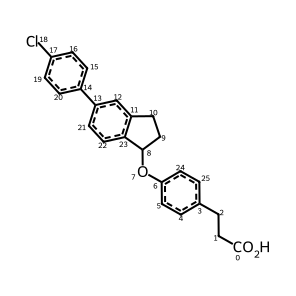 O=C(O)CCc1ccc(OC2CCc3cc(-c4ccc(Cl)cc4)ccc32)cc1